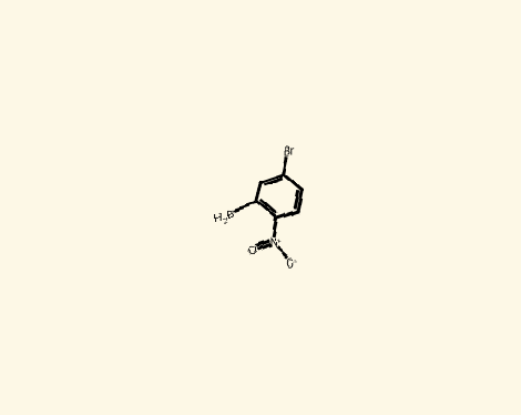 Bc1cc(Br)ccc1[N+](=O)[O-]